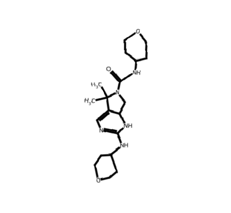 CC1(C)C2=CN=C(NC3CCOCC3)NC2CN1C(=O)NC1CCOCC1